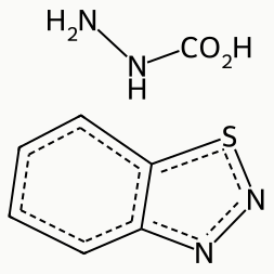 NNC(=O)O.c1ccc2snnc2c1